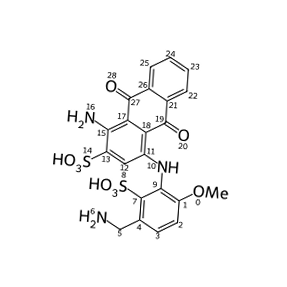 COc1ccc(CN)c(S(=O)(=O)O)c1Nc1cc(S(=O)(=O)O)c(N)c2c1C(=O)c1ccccc1C2=O